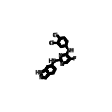 Fc1cnc(Nc2ccc3cn[nH]c3c2)nc1Nc1ccc(Cl)c(Cl)c1